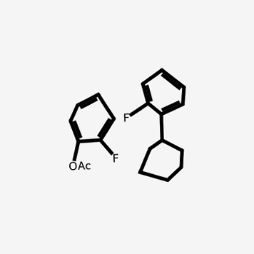 CC(=O)Oc1ccccc1F.Fc1ccccc1C1CCCCC1